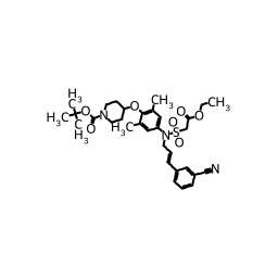 CCOC(=O)CS(=O)(=O)N(C/C=C/c1cccc(C#N)c1)c1cc(C)c(OC2CCN(C(=O)OC(C)(C)C)CC2)c(C)c1